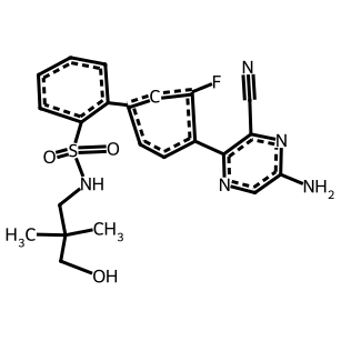 CC(C)(CO)CNS(=O)(=O)c1ccccc1-c1ccc(-c2ncc(N)nc2C#N)c(F)c1